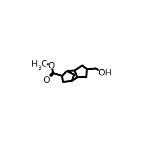 COC(=O)C1CC2CC1C1CC(CO)CC21